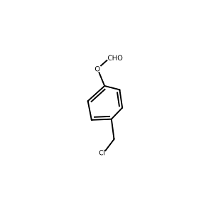 O=COc1ccc(CCl)cc1